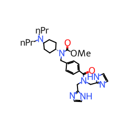 CCCN(CCC)[C@H]1CC[C@H](N(Cc2ccc(C(=O)N(Cc3ncc[nH]3)Cc3ncc[nH]3)cc2)C(=O)OC)CC1